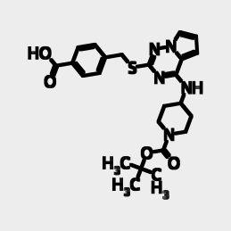 CC(C)(C)OC(=O)N1CCC(Nc2nc(SCc3ccc(C(=O)O)cc3)nn3cccc23)CC1